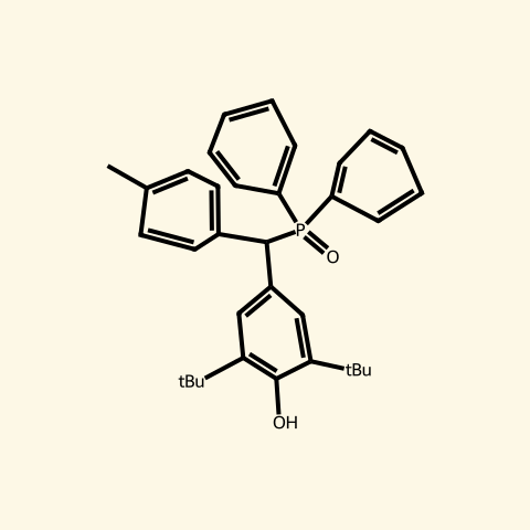 Cc1ccc(C(c2cc(C(C)(C)C)c(O)c(C(C)(C)C)c2)P(=O)(c2ccccc2)c2ccccc2)cc1